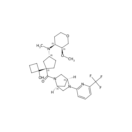 CO[C@@H]1COCC[C@@H]1N(C)[C@@H]1CC[C@@](C(=O)N2C[C@@H]3C[C@H]2CN3c2cccc(C(F)(F)F)n2)(C2(O)CCC2)C1